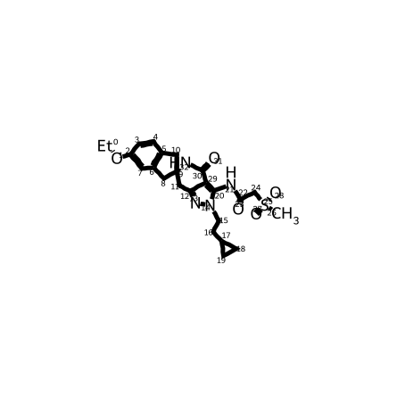 CCOc1ccc2c(c1)CC1(C2)Cc2nn(CCC3CC3)c(NC(=O)CS(C)(=O)=O)c2C(=O)N1